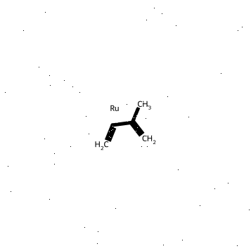 C=CC(=C)C.[Ru]